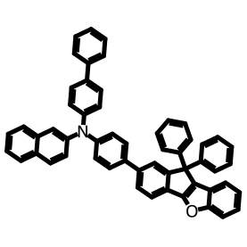 c1ccc(-c2ccc(N(c3ccc(-c4ccc5c(c4)C(c4ccccc4)(c4ccccc4)c4c-5oc5ccccc45)cc3)c3ccc4ccccc4c3)cc2)cc1